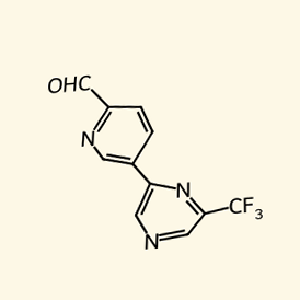 O=Cc1ccc(-c2cncc(C(F)(F)F)n2)cn1